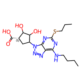 CCCCNc1nc(SCCC)nc2c1nnn2C1C[C@H](C(=O)O)C(O)C1O